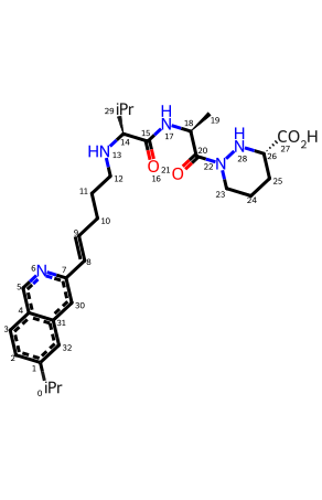 CC(C)c1ccc2cnc(/C=C/CCCN[C@H](C(=O)N[C@@H](C)C(=O)N3CCC[C@@H](C(=O)O)N3)C(C)C)cc2c1